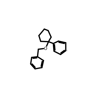 [c]1ccc(C2(OCc3ccccc3)CCCCC2)cc1